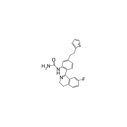 NC(=O)Nc1cc(CCc2cccs2)ccc1C1=NCCc2ccc(F)cc21